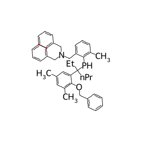 CCCC(CC)(Pc1c(C)cccc1CN(Cc1ccccc1)Cc1ccccc1)c1cc(C)cc(C)c1OCc1ccccc1